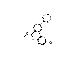 COC(=O)c1ccc(-c2ccccc2)cc1-c1ccc[n+]([O-])c1